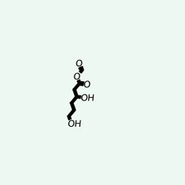 O=COC(=O)CC(O)CCCO